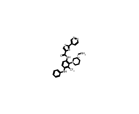 NC[C@@H]1CCCN(c2c(NC(=O)c3csc(-c4ccnnc4)n3)ccc(Nc3ccccc3)c2C(F)(F)F)C1